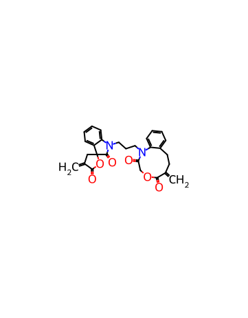 C=C1CCc2ccccc2N(CCCN2C(=O)C3(CC(=C)C(=O)O3)c3ccccc32)C(=O)COC1=O